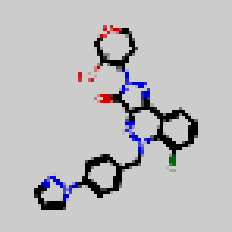 O=c1c2nn(Cc3ccc(-n4cccn4)cc3)c3c(Cl)cccc3c-2nn1[C@@H]1CCOC[C@@H]1O